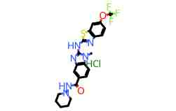 Cl.Cn1c(Nc2nc3ccc(OC(F)(F)F)cc3s2)nc2cc(C(=O)NN3CCCCC3)ccc21